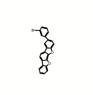 Brc1cccc(-c2ccc3oc4c(ccc5c6ccccc6oc54)c3c2)c1